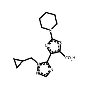 O=C(O)c1sc(N2CCCCC2)nc1-c1ncnn1CC1CC1